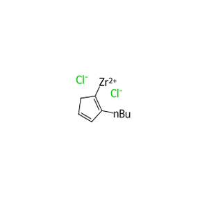 CCCCC1=[C]([Zr+2])CC=C1.[Cl-].[Cl-]